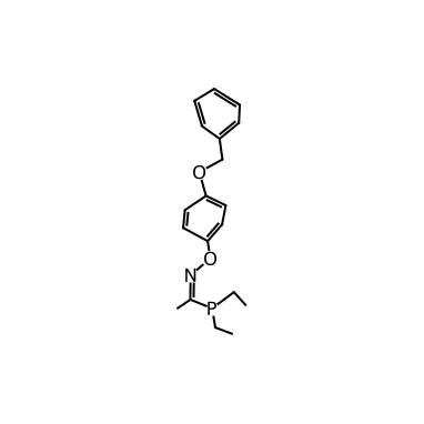 CCP(CC)C(C)=NOc1ccc(OCc2ccccc2)cc1